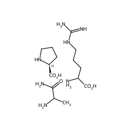 CC(N)C(N)=O.N=C(N)NCCCC(N)C(=O)O.O=C(O)[C@@H]1CCCN1